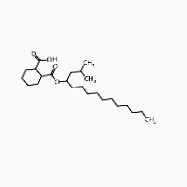 CCCCCCCCCCCC(CC(C)C)OC(=O)C1CCCCC1C(=O)O